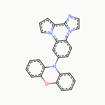 c1ccc2c(c1)Oc1ccccc1N2c1ccc2c(c1)n1cccc1c1nccn21